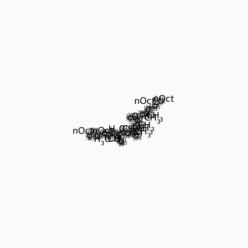 CCCCCCCCC1(CCCCCCCC)c2ccccc2-c2ccc(-c3ccc4c(c3)C(C)(C)c3cc(-c5cc6c(c7c5oc5ccccc57)-c5ccc(N(c7ccc8c(c7)C(C)(C)c7cc(-c9ccc%10c(c9)C(C)(C)c9cc(-c%11ccc%12c(c%11)C(CCCCCCCC)(CCCCCCCC)c%11ccccc%11-%12)ccc9-%10)c9oc%10ccccc%10c9c7-8)c7ccccc7C)cc5C6(C)C)ccc3-4)cc21